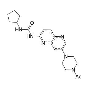 CC(=O)N1CCN(c2cnc3ccc(NC(=O)NC4CCCC4)nc3c2)CC1